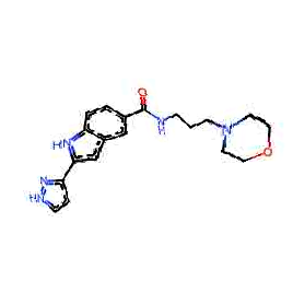 O=C(NCCCN1CCOCC1)c1ccc2[nH]c(-c3cc[nH]n3)cc2c1